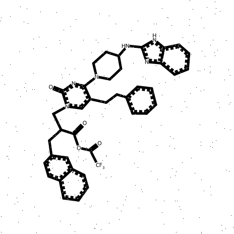 O=C(OC(=O)C(F)(F)F)C(Cc1ccc2ccccc2c1)Cn1cc(CCc2ccccc2)c(N2CCC(Nc3nc4ccccc4[nH]3)CC2)nc1=O